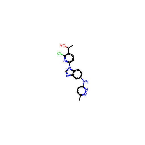 Cc1ccc(Nc2ccc3c(c2)ncn3-c2ccc(C(C)O)c(Cl)n2)nn1